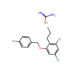 Fc1ccc(COc2cc(Cl)cc(Cl)c2CCI)cc1.N=C(N)S